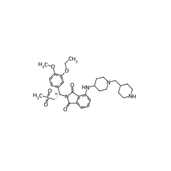 CCOc1cc([C@@H](CS(C)(=O)=O)N2C(=O)c3cccc(NC4CCN(CC5CCNCC5)CC4)c3C2=O)ccc1OC